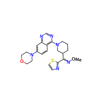 CO/N=C(/c1nccs1)C1CCCN(c2ncnc3cc(N4CCOCC4)ccc23)C1